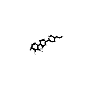 CCCC1CCC(c2ccc(-c3ccc(C)c(F)c3F)c(F)c2)OC1